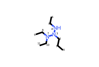 CCCN(NCC)N(CC)CC